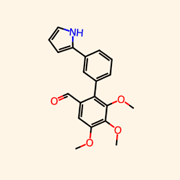 COc1cc(C=O)c(-c2cccc(-c3ccc[nH]3)c2)c(OC)c1OC